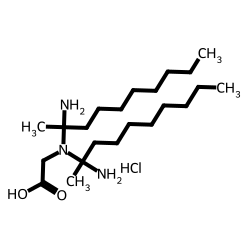 CCCCCCCCC(C)(N)N(CC(=O)O)C(C)(N)CCCCCCCC.Cl